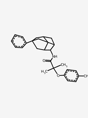 Cc1ccc(OC(C)(C)C(=O)NC2C3CC4CC2CC(c2ccccc2)(C4)C3)cc1